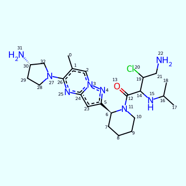 Cc1cn2nc([C@@H]3CCCCN3C(=O)C(NC(C)C)C(Cl)CN)cc2nc1N1CC[C@H](N)C1